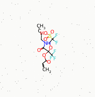 C=CC(=O)OC(OCC(F)(F)S(=O)(=O)O)(C(=O)NCCCC)C(F)(F)F